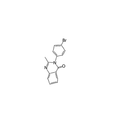 Cc1nc2ccccc2c(=O)n1-c1ccc(Br)cc1